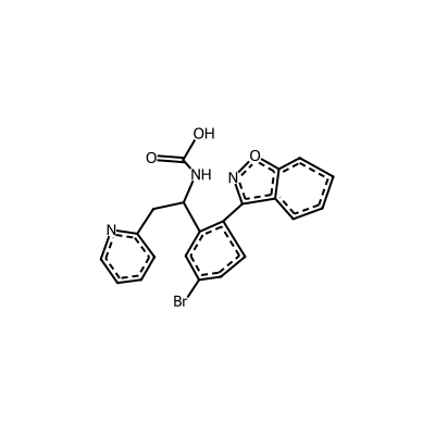 O=C(O)NC(Cc1ccccn1)c1cc(Br)ccc1-c1noc2ccccc12